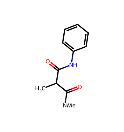 CNC(=O)C(C)C(=O)Nc1ccccc1